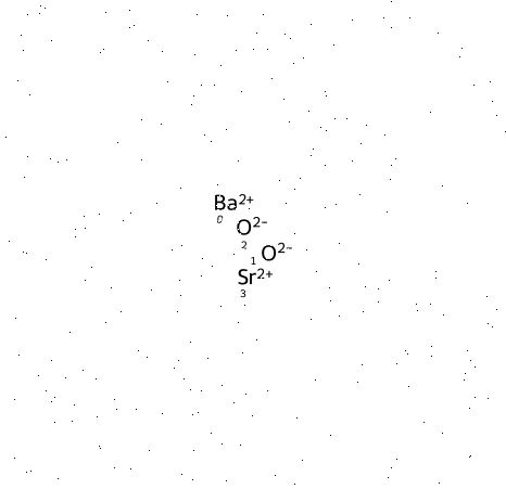 [Ba+2].[O-2].[O-2].[Sr+2]